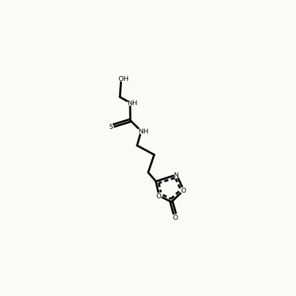 O=c1onc(CCCNC(=S)NCO)o1